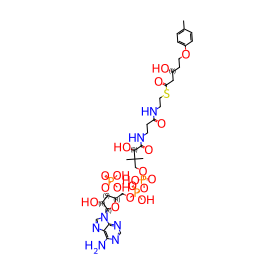 Cc1ccc(OCC[C@@H](O)CC(=O)SCCNC(=O)CCNC(=O)[C@H](O)C(C)(C)COP(=O)(O)OP(=O)(O)OC[C@H]2O[C@@H](n3cnc4c(N)ncnc43)[C@H](O)[C@@H]2OP(=O)(O)O)cc1